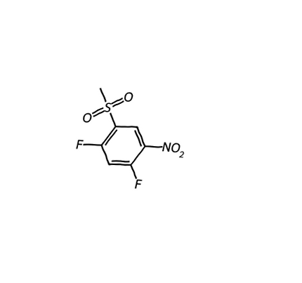 CS(=O)(=O)c1cc([N+](=O)[O-])c(F)cc1F